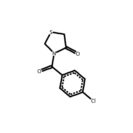 O=C1CSCN1C(=O)c1ccc(Cl)cc1